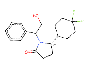 O=C1CC[C@@H](C2CCC(F)(F)CC2)N1C(CO)c1ccccc1